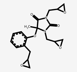 CC1(Oc2ccccc2CC2CO2)C(=O)N(CC2CO2)C(=O)N1CC1CO1